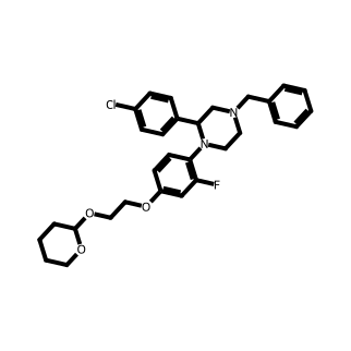 Fc1cc(OCCOC2CCCCO2)ccc1N1CCN(Cc2ccccc2)CC1c1ccc(Cl)cc1